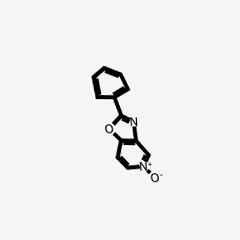 [O-][n+]1ccc2oc(-c3ccccc3)nc2c1